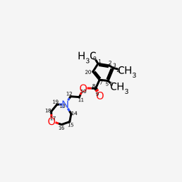 Cc1cc(C)c(C)c(C(=O)OCCN2CCCOCC2)c1